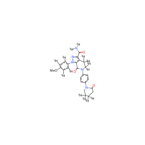 [2H]c1c([2H])c(-n2nc(C(=O)N([2H])[2H])c3c2C(=O)N(c2ccc(N4CC([2H])([2H])C([2H])([2H])CC4=O)cc2)C([2H])([2H])C3([2H])[2H])c([2H])c([2H])c1OC